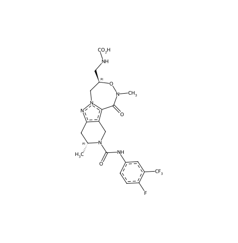 C[C@@H]1Cc2nn3c(c2CN1C(=O)Nc1ccc(F)c(C(F)(F)F)c1)C(=O)N(C)O[C@H](CNC(=O)O)C3